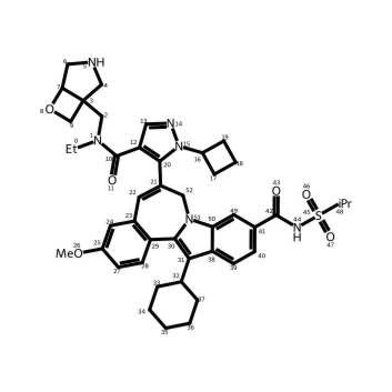 CCN(CC12CNCC1OC2)C(=O)c1cnn(C2CCC2)c1C1=Cc2cc(OC)ccc2-c2c(C3CCCCC3)c3ccc(C(=O)NS(=O)(=O)C(C)C)cc3n2C1